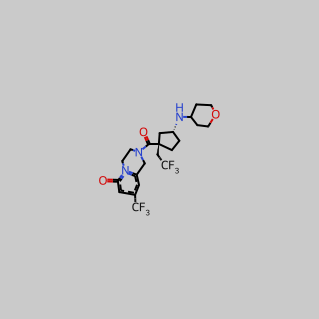 O=C(N1CCn2c(cc(C(F)(F)F)cc2=O)C1)[C@@]1(CC(F)(F)F)CC[C@@H](NC2CCOCC2)C1